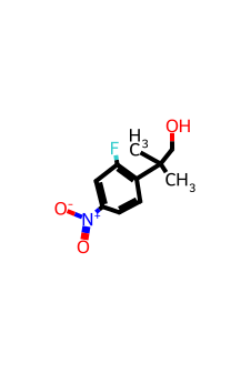 CC(C)(CO)c1ccc([N+](=O)[O-])cc1F